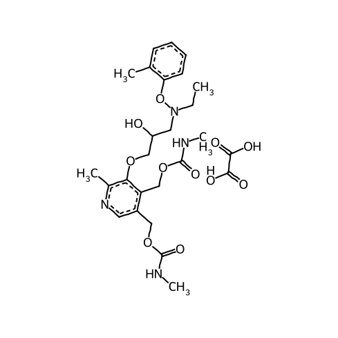 CCN(CC(O)COc1c(C)ncc(COC(=O)NC)c1COC(=O)NC)Oc1ccccc1C.O=C(O)C(=O)O